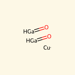 [Cu].[O]=[GaH].[O]=[GaH]